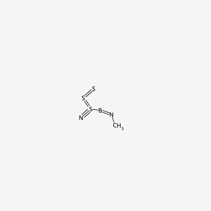 CN=BS(#N)=S=S